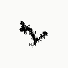 CC(C)[C@H](NCCNC(=O)CCCN1C(=O)C=CC1=O)C(=O)N[C@@H](CCCCN)C(=O)Nc1ccc(C(=O)Nc2ccc3[nH]c(C(=O)N4C[C@@H](CCl)c5c4cc(OC(=O)N4CCN(C)CC4)c4ccccc54)cc3c2)cc1